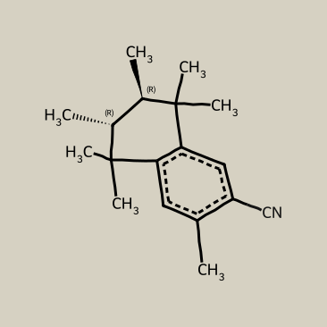 Cc1cc2c(cc1C#N)C(C)(C)[C@H](C)[C@@H](C)C2(C)C